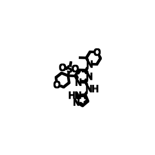 CC1COCCN1c1cc(C2(S(C)(=O)=O)CCOCC2)nc(Nc2ccn[nH]2)n1